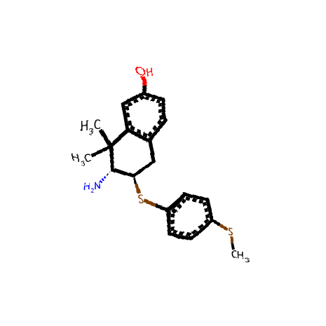 CSc1ccc(S[C@@H]2Cc3ccc(O)cc3C(C)(C)[C@H]2N)cc1